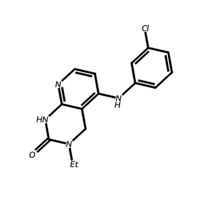 CCN1Cc2c(Nc3cccc(Cl)c3)ccnc2NC1=O